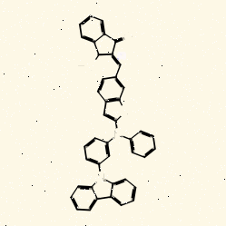 O=C1/C(=C/c2ccc3cc(N(c4ccccc4)c4cccc(-n5c6ccccc6c6ccccc65)c4)sc3c2)C(O)c2ccccc21